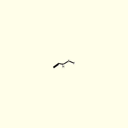 C=CPSF